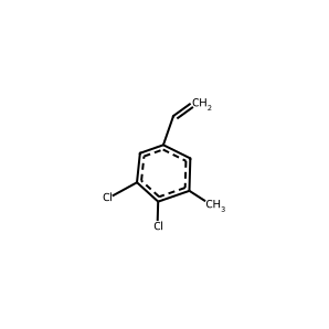 C=Cc1cc(C)c(Cl)c(Cl)c1